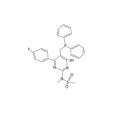 CC(C)c1nc(N(C)S(C)(=O)=O)nc(-c2ccc(F)cc2)c1CP(c1ccccc1)c1ccccc1